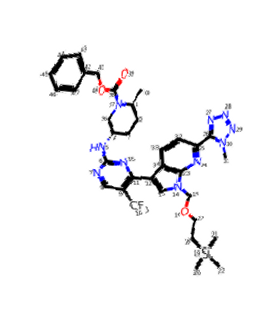 C[C@H]1CC[C@H](Nc2ncc(C(F)(F)F)c(-c3cn(COCC[Si](C)(C)C)c4nc(-c5nnnn5C)ccc34)n2)CN1C(=O)OCc1ccccc1